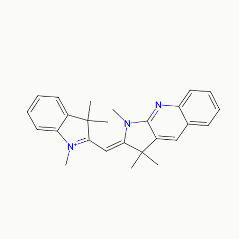 CN1C(=CC2=[N+](C)c3ccccc3C2(C)C)C(C)(C)c2cc3ccccc3nc21